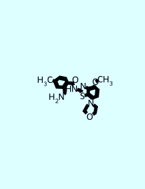 COc1ccc(N2CCOCC2)c2sc(NC(=O)c3ccc(C)cc3CN)nc12